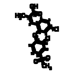 CC(=Cc1ccc(Cl)cc1Oc1ccc(S(C)(=O)=O)cc1Cl)C(=O)O